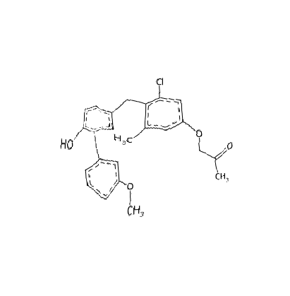 COc1cccc(-c2cc(Cc3c(C)cc(OCC(C)=O)cc3Cl)ccc2O)c1